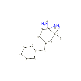 CC1(C)CC(CC2CCCCC2)CCC1(N)N